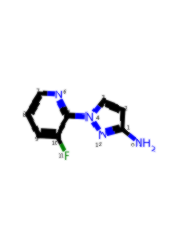 Nc1ccn(-c2ncccc2F)n1